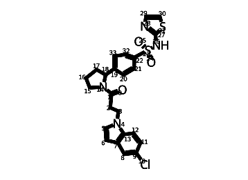 O=C(CCn1ccc2cc(Cl)ccc21)N1CCCC1c1ccc(S(=O)(=O)Nc2nccs2)cc1